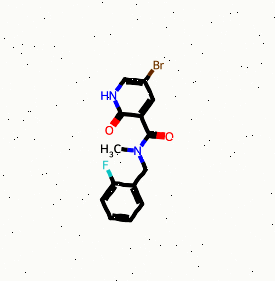 CN(Cc1ccccc1F)C(=O)c1cc(Br)c[nH]c1=O